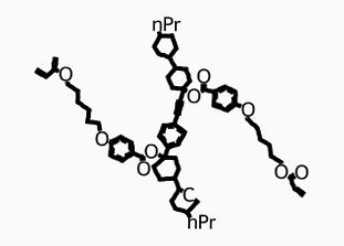 C=CC(=C)OCCCCCCOc1ccc(C(=O)OC2(c3ccc(C#CC4(OC(=O)c5ccc(OCCCCCCOC(=O)C=C)cc5)CCC(C5CCC(CCC)CC5)CC4)cc3)CCC(C3CCC(CCC)CC3)CC2)cc1